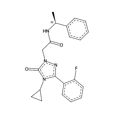 C[C@H](NC(=O)Cn1nc(-c2ccccc2F)n(C2CC2)c1=O)c1ccccc1